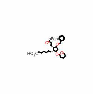 CCCCCC(=O)C=C[C@@H]1[C@@H](CCCCCCC(=O)O)[C@@H](OC2CCCCO2)C[C@H]1OCc1ccccc1